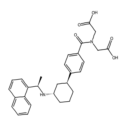 C[C@@H](N[C@H]1CCC[C@H](c2ccc(C(=O)N(CC(=O)O)CC(=O)O)cc2)C1)c1cccc2ccccc12